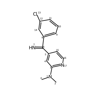 CN(C)c1cc(C(=N)c2cccc(Cl)c2)ccn1